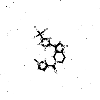 Cn1ccc(C(=O)N2CCc3scc(-c4noc(C(F)(F)F)n4)c3C2)n1